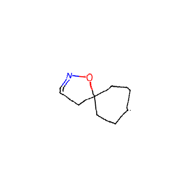 [CH]1CCC2(CC=NO2)CC1